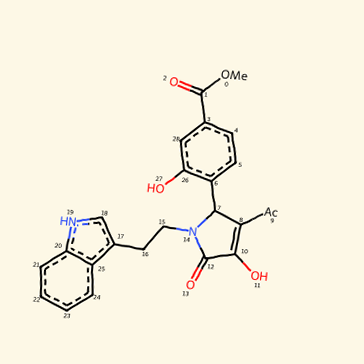 COC(=O)c1ccc(C2C(C(C)=O)=C(O)C(=O)N2CCc2c[nH]c3ccccc23)c(O)c1